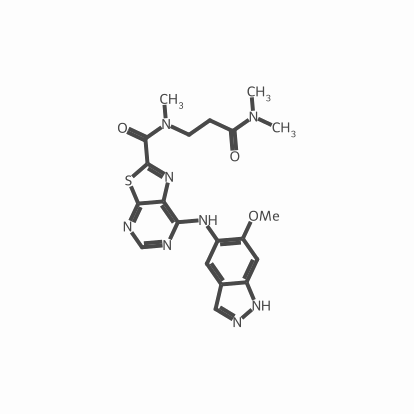 COc1cc2[nH]ncc2cc1Nc1ncnc2sc(C(=O)N(C)CCC(=O)N(C)C)nc12